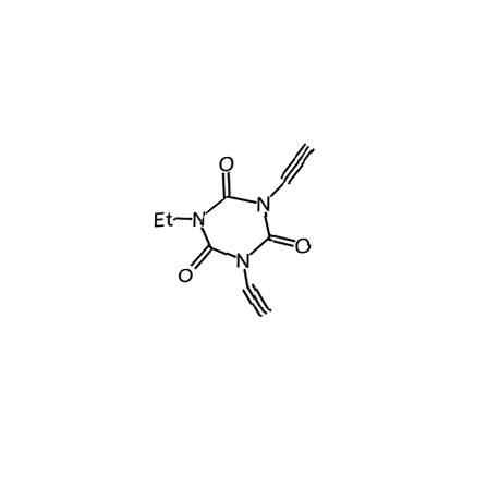 C#Cn1c(=O)n(C#C)c(=O)n(CC)c1=O